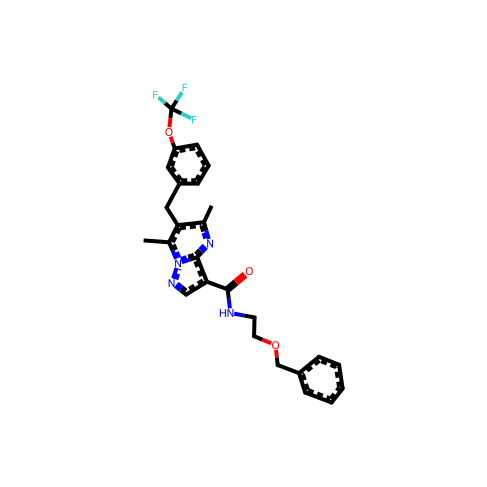 Cc1nc2c(C(=O)NCCOCc3ccccc3)cnn2c(C)c1Cc1cccc(OC(F)(F)F)c1